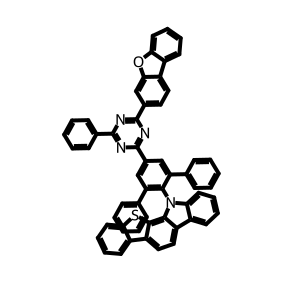 c1ccc(-c2nc(-c3cc(-c4ccccc4)c(-n4c5ccccc5c5ccc6c7ccccc7sc6c54)c(-c4ccccc4)c3)nc(-c3ccc4c(c3)oc3ccccc34)n2)cc1